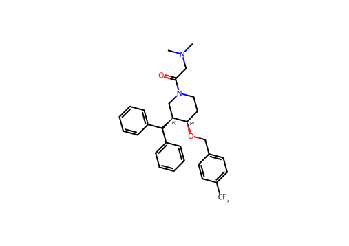 CN(C)CC(=O)N1CC[C@@H](OCc2ccc(C(F)(F)F)cc2)[C@@H](C(c2ccccc2)c2ccccc2)C1